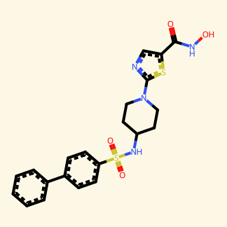 O=C(NO)c1cnc(N2CCC(NS(=O)(=O)c3ccc(-c4ccccc4)cc3)CC2)s1